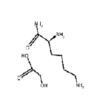 NCCCC[C@H](N)C(N)=O.O=C(O)CO